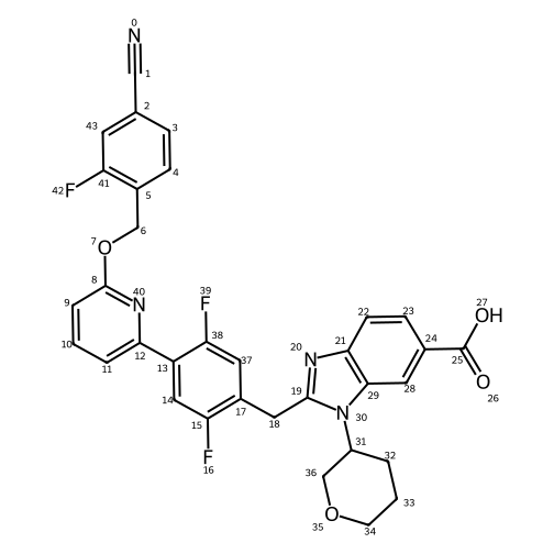 N#Cc1ccc(COc2cccc(-c3cc(F)c(Cc4nc5ccc(C(=O)O)cc5n4C4CCCOC4)cc3F)n2)c(F)c1